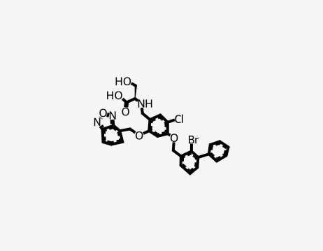 O=C(O)[C@@H](CO)NCc1cc(Cl)c(OCc2cccc(-c3ccccc3)c2Br)cc1OCc1cccc2nonc12